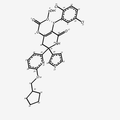 CCCCCCCCCCOC(=O)OC1=C(Sc2cc(Cl)ccc2Cl)C(=O)NC(c2ccsc2)(c2cccc(OCC3CCCC3)n2)C1